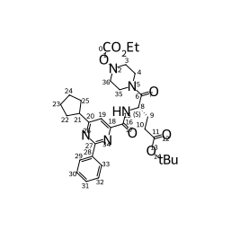 CCOC(=O)ON1CCN(C(=O)[C@H](CCC(=O)OC(C)(C)C)NC(=O)c2cc(C3CCCC3)nc(-c3ccccc3)n2)CC1